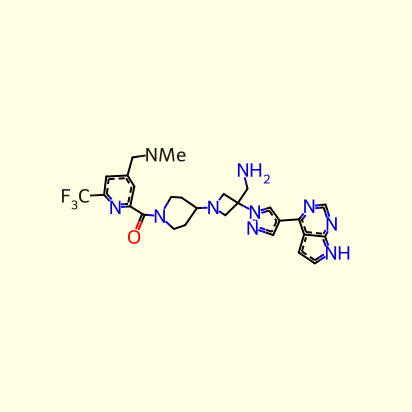 CNCc1cc(C(=O)N2CCC(N3CC(CN)(n4cc(-c5ncnc6[nH]ccc56)cn4)C3)CC2)nc(C(F)(F)F)c1